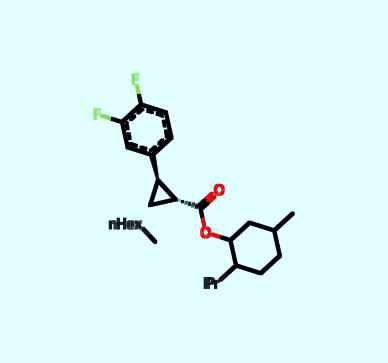 CC1CCC(C(C)C)C(OC(=O)[C@@H]2C[C@H]2c2ccc(F)c(F)c2)C1.CCCCCCC